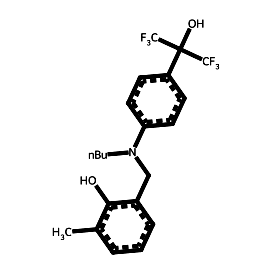 CCCCN(Cc1cccc(C)c1O)c1ccc(C(O)(C(F)(F)F)C(F)(F)F)cc1